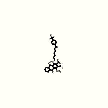 Nc1c2c(=O)[nH]c(=O)c2c(NCCCCCCC(=O)c2ccc(C(F)(F)F)cc2)c2c(=O)c3ccccc3c(=O)c12